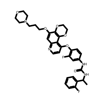 CC(NC(=O)Nc1ccc(Oc2ccnc3cc(OCCCN4CCOCC4)c4c(c23)OCCO4)c(F)c1)c1ccccc1F